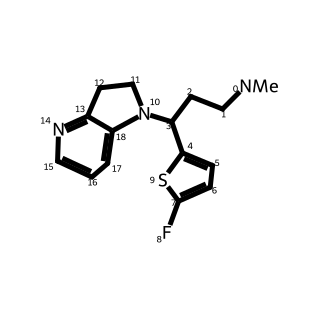 CNCCC(c1ccc(F)s1)N1CCc2ncccc21